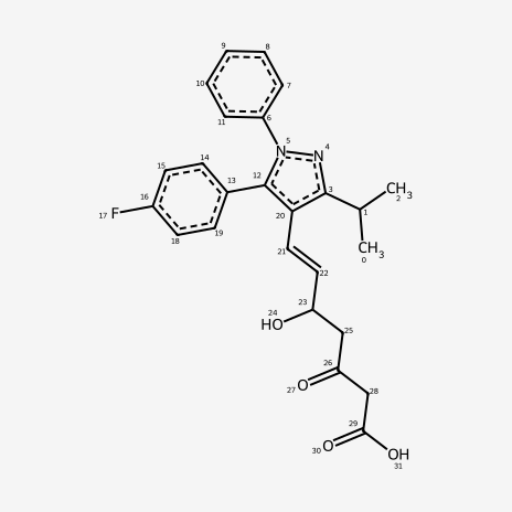 CC(C)c1nn(-c2ccccc2)c(-c2ccc(F)cc2)c1C=CC(O)CC(=O)CC(=O)O